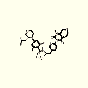 Cc1cc(N2CCOC[C@H]2CC(F)F)cc(F)c1C(=O)N[C@@H](Cc1ccc(-n2c(=O)c3ccncc3n(C)c2=O)nc1)C(=O)O